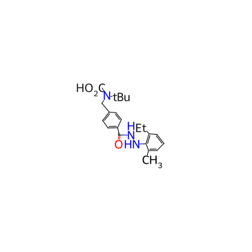 CCc1cccc(C)c1NNC(=O)c1ccc(CN(C(=O)O)C(C)(C)C)cc1